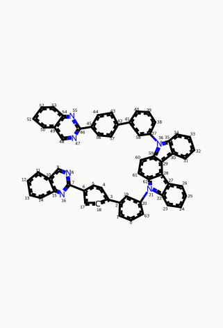 c1cc(-c2ccc(-c3ncc4ccccc4n3)cc2)cc(-n2c3ccccc3c3c4c5ccccc5n(-c5cccc(-c6ccc(-c7ncc8ccccc8n7)cc6)c5)c4ccc32)c1